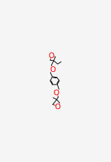 CCC1(COCc2ccc(COCC3(C)COC3)cc2)COC1